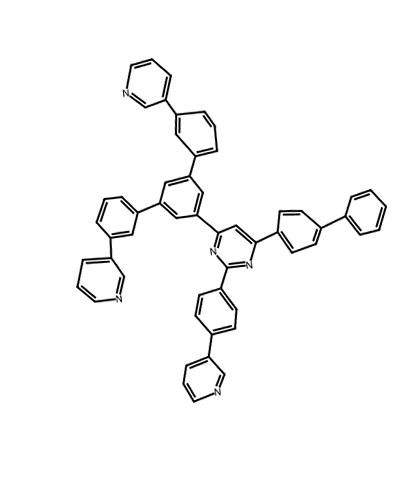 c1ccc(-c2ccc(-c3cc(-c4cc(-c5cccc(-c6cccnc6)c5)cc(-c5cccc(-c6cccnc6)c5)c4)nc(-c4ccc(-c5cccnc5)cc4)n3)cc2)cc1